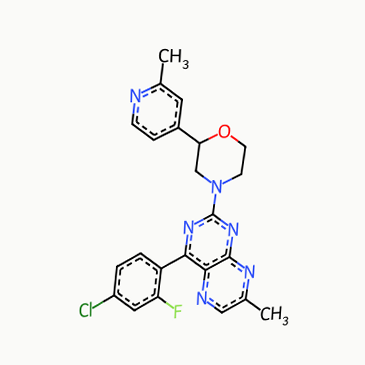 Cc1cc(C2CN(c3nc(-c4ccc(Cl)cc4F)c4ncc(C)nc4n3)CCO2)ccn1